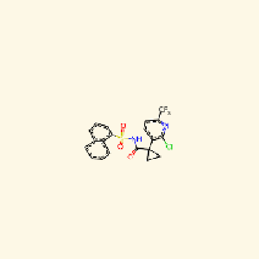 O=C(NS(=O)(=O)c1cccc2ccccc12)C1(c2ccc(C(F)(F)F)nc2Cl)CC1